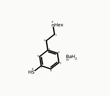 CCCCCCCCc1cccc(S)c1.[BaH2]